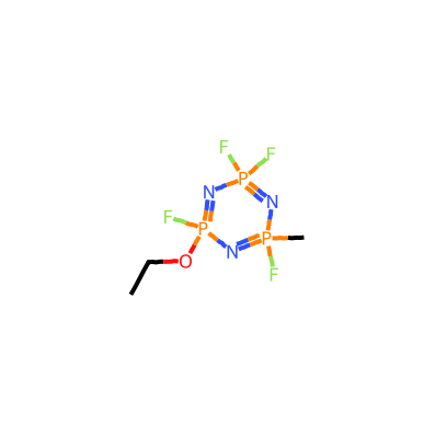 CCOP1(F)=NP(F)(F)=NP(C)(F)=N1